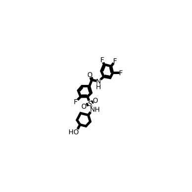 O=C(Nc1cc(F)c(F)c(F)c1)c1ccc(F)c(S(=O)(=O)NC2CCC(O)CC2)c1